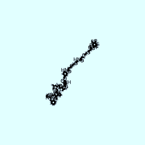 CC[C@H](C)[C@@H](C(CC(=O)N1CCC[C@H]1[C@H](OC)[C@@H](C)C(=O)N[C@@H](Cc1ccccc1)c1nccs1)OC)N(C)C(=O)[C@@H](NC(=O)C(C)(C)NC(=O)OCc1ccc(NC(=O)CCOCCOCCNC(=O)CCOCCOCCC(=O)Oc2c(F)c(F)c(F)c(F)c2F)cc1)C(C)C